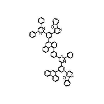 c1ccc(-c2cc(-c3ccccc3)nc(-c3cc(-c4cc5ccccc5c5c(-c6cccc(-c7cc(-c8cc(-c9cc%10ccccc%10c%10ccccc9%10)cc(-c9ccnc%10c9oc9ccccc9%10)c8)nc(-c8ccccc8)n7)c6)cccc45)cc(-c4ccnc5c4oc4ccccc45)c3)n2)cc1